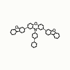 c1ccc(-c2ccc(N3c4cc(-c5ccc6c(c5)oc5ccccc56)ccc4Oc4ccc(-c5ccc6c(c5)oc5ccccc56)cc43)cc2)cc1